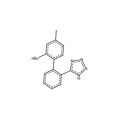 [CH2]c1ccc(-c2ccccc2-c2nnn[nH]2)c(CCCC)c1